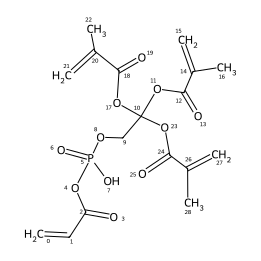 C=CC(=O)OP(=O)(O)OCC(OC(=O)C(=C)C)(OC(=O)C(=C)C)OC(=O)C(=C)C